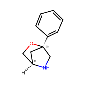 c1ccc([C@@]23CN[C@@H](CO2)C3)cc1